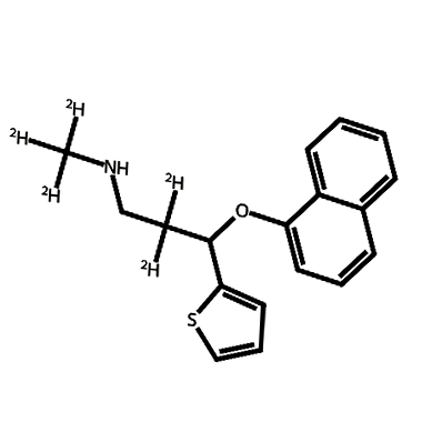 [2H]C([2H])([2H])NCC([2H])([2H])C(Oc1cccc2ccccc12)c1cccs1